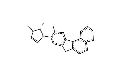 Cc1cc2c(cc1N1C=CN(C)[C@@H]1C)Cc1ccc3ccccc3c1-2